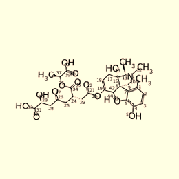 Cc1ccc(O)c2c1[C@]13CCN(C)[C@H](C)[C@]1(O)CC=C(OC(=O)C[C@H](CC(=O)C[C@H](O)C(=O)O)C(=O)O[C@@H](C)C(=O)O)[C@@H]3O2